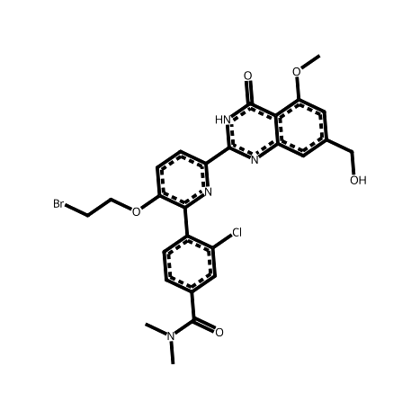 COc1cc(CO)cc2nc(-c3ccc(OCCBr)c(-c4ccc(C(=O)N(C)C)cc4Cl)n3)[nH]c(=O)c12